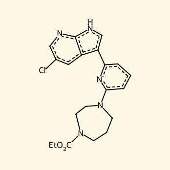 CCOC(=O)N1CCCN(c2cccc(-c3c[nH]c4ncc(Cl)cc34)n2)CC1